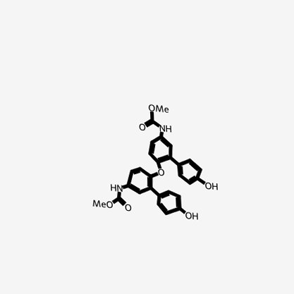 COC(=O)Nc1ccc(Oc2ccc(NC(=O)OC)cc2-c2ccc(O)cc2)c(-c2ccc(O)cc2)c1